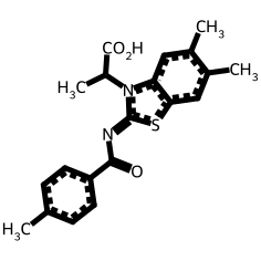 Cc1ccc(C(=O)N=c2sc3cc(C)c(C)cc3n2C(C)C(=O)O)cc1